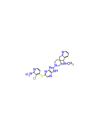 CNC1c2cccnc2CC12CCN(c1nc3nc(Sc4ccnc(N)c4Cl)cnc3[nH]1)CC2